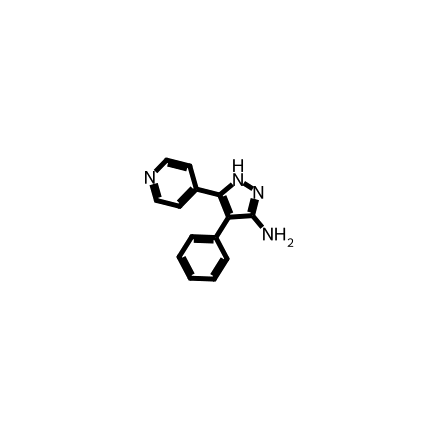 Nc1n[nH]c(-c2ccncc2)c1-c1ccccc1